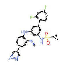 C=Nc1cc(-c2cnn(C)c2)ccc1Nc1cc(NS(=O)(=O)C2CC2)cc(-c2ccc(F)cc2F)c1